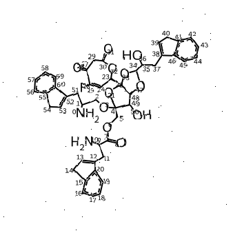 NC(CO[C@]1(COC(=O)C(N)CC2=CCc3ccccc32)O[C@]2(C3C=C(F)C(=O)CC(=O)O3)OC(C(O)CC3=CCc4ccccc43)OC2C1O)CC1=CCc2ccccc21